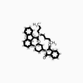 CCCCN(CCC)C(=O)C1c2ccccc2-c2cccc(N3CCC(N4C(=O)c5ccccc5C4=O)CC3)c21